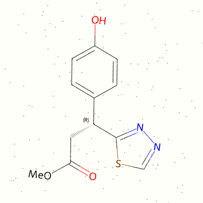 COC(=O)C[C@H](c1ccc(O)cc1)c1nncs1